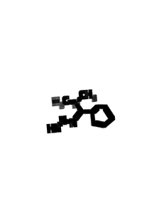 CN(C)C(=NN=N)c1ccccc1